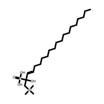 CCCCCCCCCCCCCCCC/C=C/C(O)(C[N+](C)(C)C)P(=O)(O)O